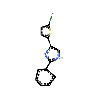 Clc1ccc(-c2c[nH]c(-c3ccccc3)n2)s1